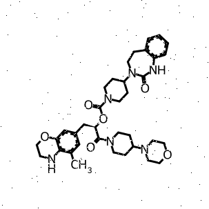 Cc1cc(C[C@@H](OC(=O)N2CCC(N3CCc4ccccc4NC3=O)CC2)C(=O)N2CCC(N3CCOCC3)CC2)cc2c1NCCO2